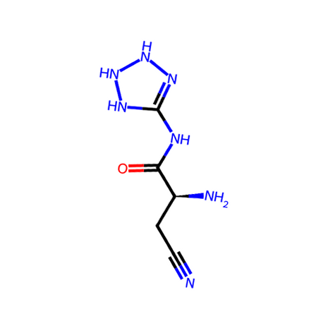 N#CC[C@H](N)C(=O)NC1=NNNN1